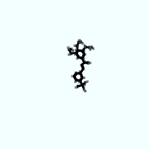 COc1cc(C(=O)C=Cc2cccc(C(F)(F)F)c2)cc(OC)c1OC